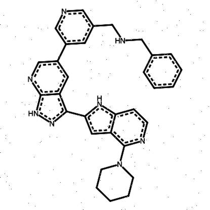 c1ccc(CNCc2cncc(-c3cnc4[nH]nc(-c5cc6c(N7CCCCC7)nccc6[nH]5)c4c3)c2)cc1